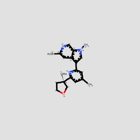 CO[C@@]1(c2cc(C)cc(-c3cn(C)c4cnc(NC(C)=O)cc34)n2)CCOC1